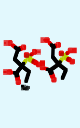 CCC(CC(=O)O)(C(=O)O)S(=O)(=O)O.CCC(CC(=O)O)(C(=O)O)S(=O)(=O)O.[Na]